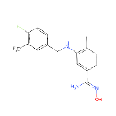 Cc1ccc(C(N)=NO)cc1NCc1ccc(F)c(C(F)(F)F)c1